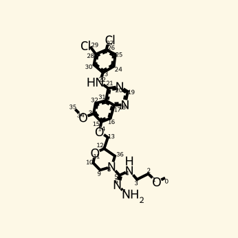 COCCN/C(=N\N)N1CCOC(COc2cc3ncnc(Nc4ccc(Cl)c(Cl)c4)c3cc2OC)C1